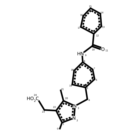 Cc1nn(Cc2ccc(NC(=O)c3ccccc3)cc2)c(C)c1CC(=O)O